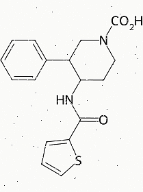 O=C(NC1CCN(C(=O)O)CC1c1ccccc1)c1cccs1